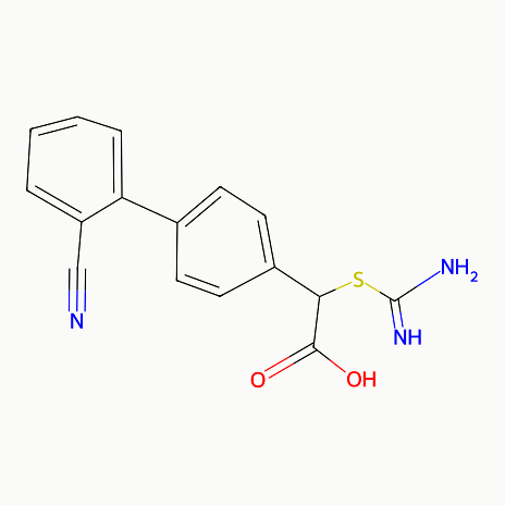 N#Cc1ccccc1-c1ccc(C(SC(=N)N)C(=O)O)cc1